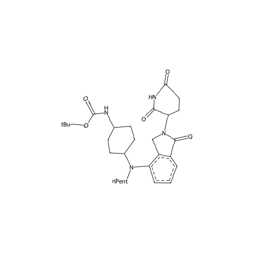 CCCCCN(c1cccc2c1CN(C1CCC(=O)NC1=O)C2=O)C1CCC(NC(=O)OC(C)(C)C)CC1